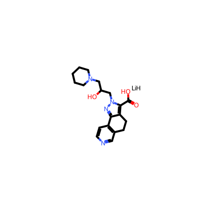 O=C(O)c1c2c(nn1CC(O)CN1CCCCC1)-c1ccncc1CC2.[LiH]